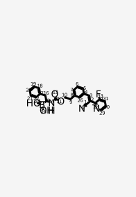 N#CC(=Cc1cccc(CCOC(=O)NC(Cc2ccccc2)B(O)O)c1)c1ncccc1F